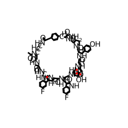 CC(=O)N[C@H]1CCCNC(=O)c2ccc(cc2)C[C@@H](C(N)=O)NC(=O)[C@]2(C)CCCN2C(=O)[C@H](Cc2ccc(O)cc2)NC(=O)[C@H](Cc2cnc[nH]2)NC(=O)[C@@H](CC(=O)O)NC(=O)[C@H](Cc2c[nH]c3cc(F)ccc23)NC(=O)[C@H](Cc2c[nH]c3ccc(F)cc23)NC(=O)CNC(=O)[C@H](C)NC1=O